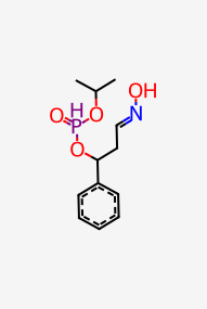 CC(C)O[PH](=O)OC(CC=NO)c1ccccc1